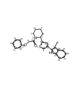 Cc1c(-c2csc(C3CCCCN3C(=O)COc3ccccc3)n2)[nH]c2ccccc12